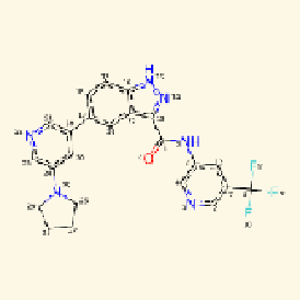 O=C(Nc1cncc(C(F)(F)F)c1)c1n[nH]c2ccc(-c3cncc(N4CCCC4)c3)cc12